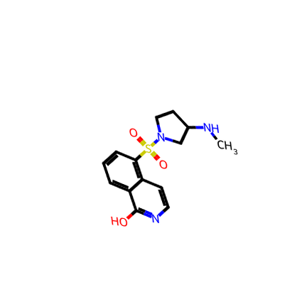 CNC1CCN(S(=O)(=O)c2cccc3c(O)nccc23)C1